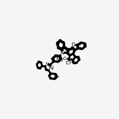 CC1(C)c2ccccc2-c2c1c1c(c3ccccc3n1-c1ccc(-c3nc(-c4ccccc4)cc(-c4ccccc4)n3)cc1)c1oc3ccccc3c21